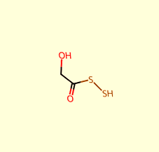 O=C(CO)SS